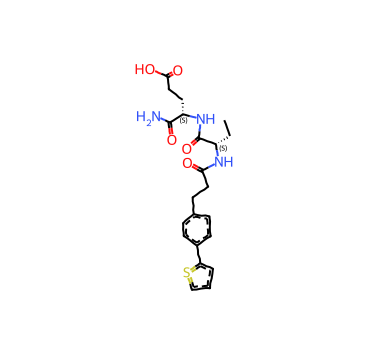 CC[C@H](NC(=O)CCc1ccc(-c2cccs2)cc1)C(=O)N[C@@H](CCC(=O)O)C(N)=O